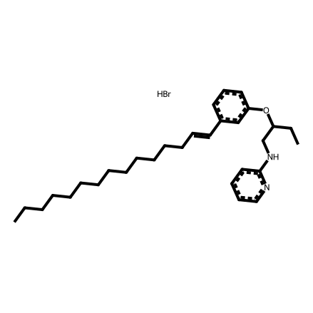 Br.CCCCCCCCCCCCCC=Cc1cccc(OC(CC)CNc2ccccn2)c1